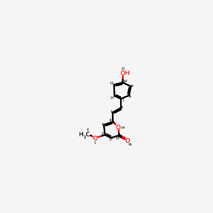 COc1cc(C=Cc2ccc(O)cc2)oc(=O)c1